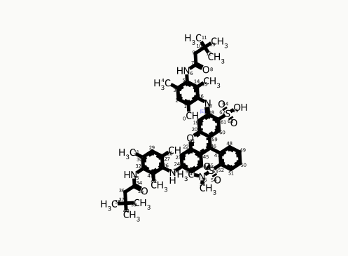 Cc1cc(C)c(NC(=O)CC(C)(C)C)c(C)c1/N=c1\cc2oc3cc(Nc4c(C)cc(C)c(NC(=O)CC(C)(C)C)c4C)ccc3c(-c3ccccc3S(=O)(=O)N(C)C)c-2cc1S(=O)(=O)O